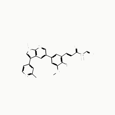 COc1cc(-c2cnc3[nH]cc(-c4ccnc(C)c4)c3c2)cc(C=CC(=O)NC=O)c1F